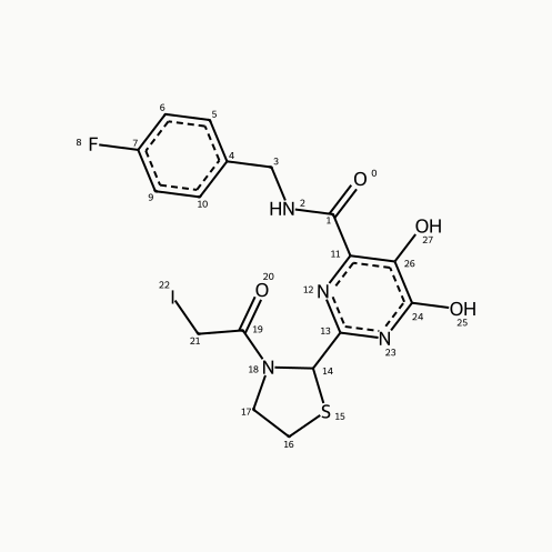 O=C(NCc1ccc(F)cc1)c1nc(C2SCCN2C(=O)CI)nc(O)c1O